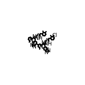 Cc1cccc(-c2nc(CN(I)Cc3cccc(C)c3C)[nH]c2-c2cc(-c3cc(C)nc(-c4nc(CN(I)Cc5cccc(Cl)c5C)[nH]c4-c4ccc5ncnn5c4)c3)c3ncnn3c2)n1